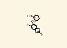 O[C@@H]1CCCC[C@@H]1Oc1cc2sc(Br)nc2cc1F